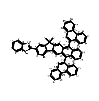 CC1(C)c2cc(-c3nc4ccccc4o3)ccc2-c2cc3c(-c4cc5ccccc5c5ccccc45)c4ccccc4c(-c4cc5ccccc5c5ccccc45)c3cc21